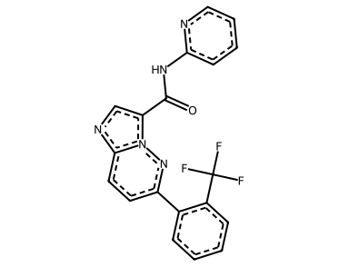 O=C(Nc1ccccn1)c1cnc2ccc(-c3ccccc3C(F)(F)F)nn12